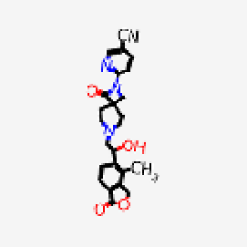 Cc1c(C(O)CN2CCC3(CC2)CN(c2ccc(C#N)cn2)C3=O)ccc2c1COC2=O